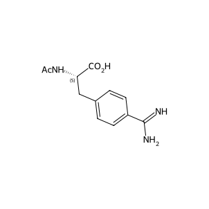 CC(=O)N[C@@H](Cc1ccc(C(=N)N)cc1)C(=O)O